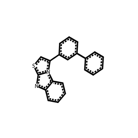 c1ccc(-c2cccc(-c3csc4nc5ccccc5n34)c2)cc1